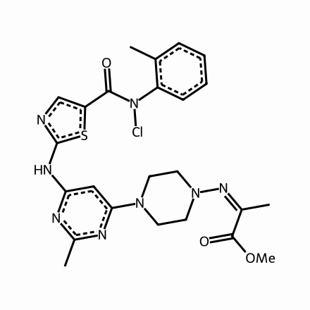 COC(=O)C(C)=NN1CCN(c2cc(Nc3ncc(C(=O)N(Cl)c4ccccc4C)s3)nc(C)n2)CC1